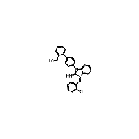 N=c1n(Cc2ccccc2Cl)c2ccccc2n1-c1ccc(-c2ccccc2CO)cc1